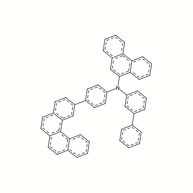 c1ccc(-c2cccc(N(c3ccc(-c4ccc5ccc6ccc7ccccc7c6c5c4)cc3)c3cc4ccccc4c4ccccc34)c2)cc1